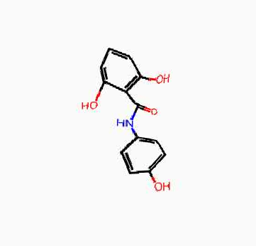 O=C(Nc1ccc(O)cc1)c1c(O)cccc1O